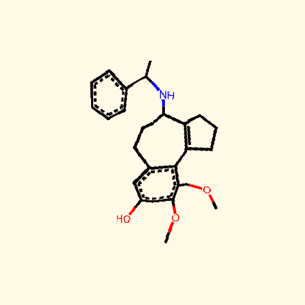 COc1c(O)cc2c(c1OC)C1=C(CCC1)C(NC(C)c1ccccc1)CC2